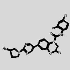 CCC1CN(C(=O)Nc2ccc(Cl)cc2F)c2ccc(-c3cnc(N4CCC(C(C)=O)C4)nc3)cc2O1